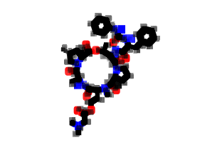 C[C@@H]1C[C@H]2C(=O)O[C@@H](C)[C@H](NC(=O)[C@H](Cc3ccccc3)NC(=O)Nc3ccccc3)C(=O)N3CCC[C@H]3C(=O)N(C)[C@@H](CCOC(=O)CN(C)C)C(=O)N[C@@H](C)C(=O)N2C1